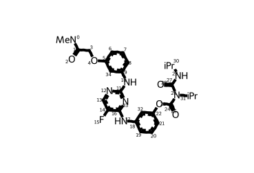 CNC(=O)COc1cccc(Nc2ncc(F)c(Nc3cccc(OC(=O)N(C(=O)NC(C)C)C(C)C)c3)n2)c1